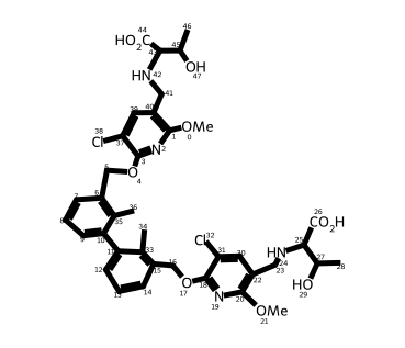 COc1nc(OCc2cccc(-c3cccc(COc4nc(OC)c(CNC(C(=O)O)C(C)O)cc4Cl)c3C)c2C)c(Cl)cc1CNC(C(=O)O)C(C)O